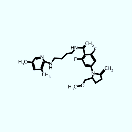 C=C(NCCCCNc1ncc(C)cc1C)c1c(F)cc(N2C(=C)CCC2COC)cc1F